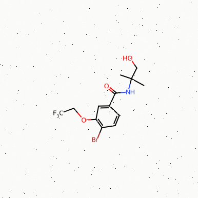 CC(C)(CO)NC(=O)c1ccc(Br)c(OCC(F)(F)F)c1